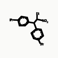 CCC(C(c1ccc(C(C)C)cc1)c1ccc(C(C)C)cc1)[N+](=O)[O-]